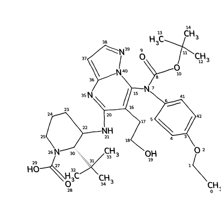 CCOc1ccc(N(C(=O)OC(C)(C)C)c2c(CCO)c(NC3CCCN(C(=O)O)[C@H]3C(C)(C)C)nc3ccnn23)cc1